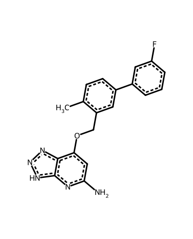 Cc1ccc(-c2cccc(F)c2)cc1COc1cc(N)nc2[nH]nnc12